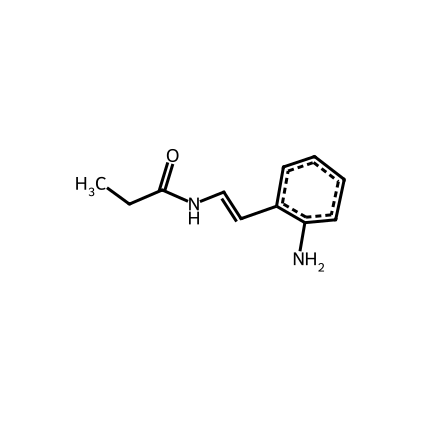 CCC(=O)NC=Cc1ccccc1N